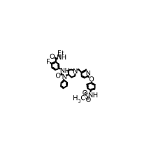 CCNC(=O)c1cc(NC(=O)N(c2ccccc2)C2CCN(Cc3ccc(Oc4ccc(NS(C)(=O)=O)cc4)nc3)CC2)ccc1F